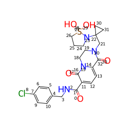 O=C(NCc1ccc(Cl)cc1)c1ccc2n(c1=O)CCN(CC1(N3CCCS3(O)O)CC1)C2=O